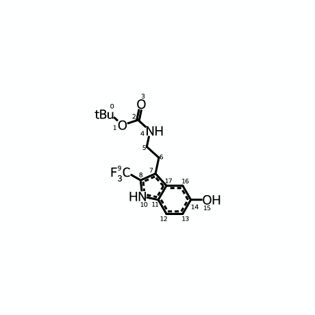 CC(C)(C)OC(=O)NCCc1c(C(F)(F)F)[nH]c2ccc(O)cc12